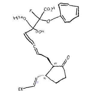 CC/C=C/[C@H]1CCC(=O)[C@@H]1CC=C=CC([16OH])([16OH])C(F)(Oc1ccccc1)C(=O)O